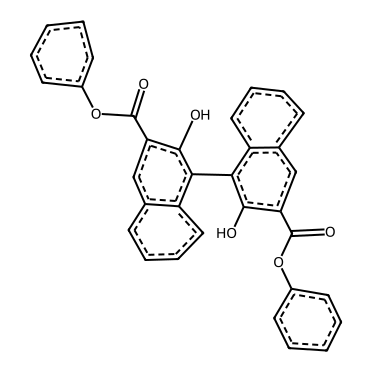 O=C(Oc1ccccc1)c1cc2ccccc2c(-c2c(O)c(C(=O)Oc3ccccc3)cc3ccccc23)c1O